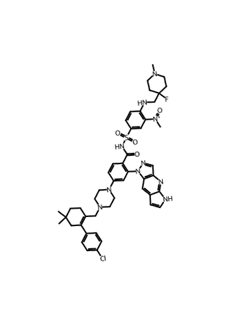 CN1CCC(F)(CNc2ccc(S(=O)(=O)NC(=O)c3ccc(N4CCN(CC5=C(c6ccc(Cl)cc6)CC(C)(C)CC5)CC4)cc3-n3ncc4nc5[nH]ccc5cc43)cc2[N+](C)=O)CC1